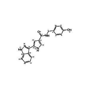 O=C(NCc1ccc(O)cc1)c1c[nH]c(-c2n[nH]c3ncccc23)c1